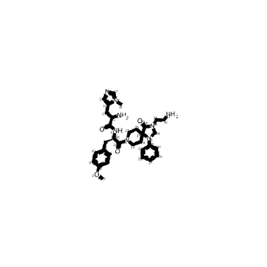 COc1ccc(C[C@@H](NC(=O)C(N)Cc2cncn2C)C(=O)N2CCC3(CC2)C(=O)N(CCN)CN3c2ccccc2)cc1